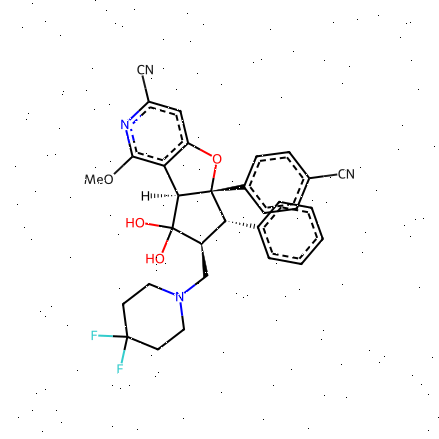 COc1nc(C#N)cc2c1[C@@H]1C(O)(O)[C@H](CN3CCC(F)(F)CC3)[C@@H](c3ccccc3)[C@@]1(c1ccc(C#N)cc1)O2